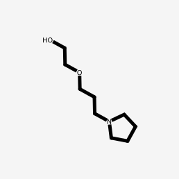 OCCOCCCN1CCCC1